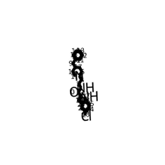 O=C(NCCN1CCC(Cc2ccccc2)CC1)c1cc2cc(Cl)ccc2[nH]1